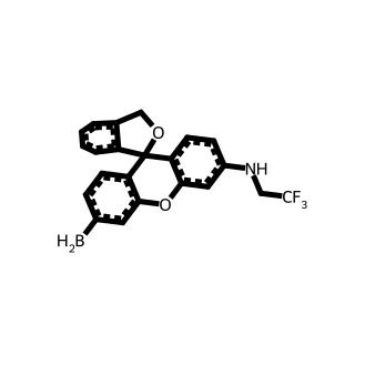 Bc1ccc2c(c1)Oc1cc(NCC(F)(F)F)ccc1C21OCc2ccccc21